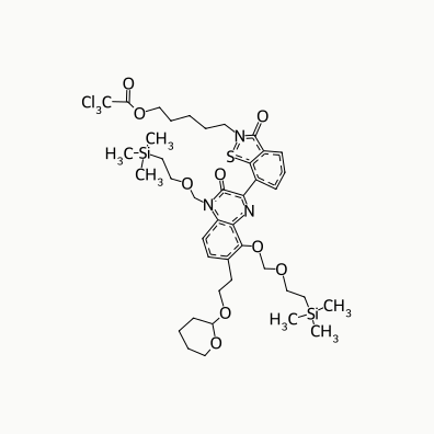 C[Si](C)(C)CCOCOc1c(CCOC2CCCCO2)ccc2c1nc(-c1cccc3c(=O)n(CCCCCOC(=O)C(Cl)(Cl)Cl)sc13)c(=O)n2COCC[Si](C)(C)C